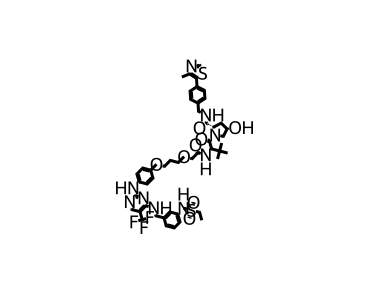 CCS(=O)(=O)Nc1cccc(CNc2nc(Nc3ccc(OCCCOCC(=O)N[C@H](C(=O)N4C[C@H](O)C[C@H]4C(=O)NCc4ccc(-c5scnc5C)cc4)C(C)(C)C)cc3)ncc2C(F)(F)F)c1